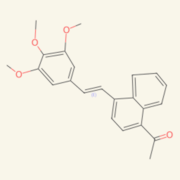 COc1cc(/C=C/c2ccc(C(C)=O)c3ccccc23)cc(OC)c1OC